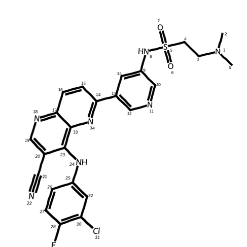 CN(C)CCS(=O)(=O)Nc1cncc(-c2ccc3ncc(C#N)c(Nc4ccc(F)c(Cl)c4)c3n2)c1